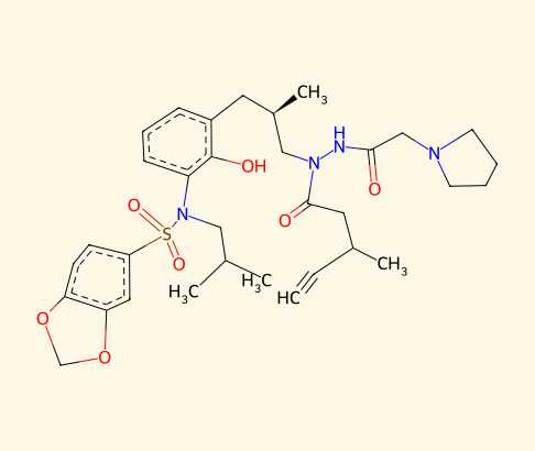 C#CC(C)CC(=O)N(C[C@H](C)Cc1cccc(N(CC(C)C)S(=O)(=O)c2ccc3c(c2)OCO3)c1O)NC(=O)CN1CCCC1